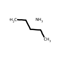 N.[CH2]CCCC